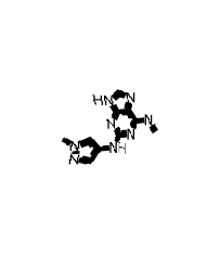 C=Nc1nc(Nc2cnn(C)c2)nc2[nH]cnc12